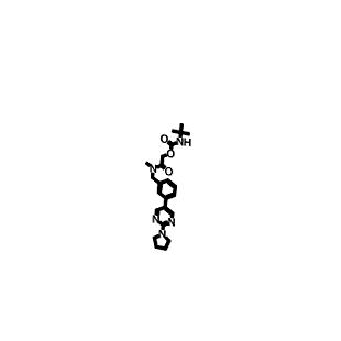 CN(Cc1cccc(-c2cnc(N3CCCC3)nc2)c1)C(=O)COC(=O)NC(C)(C)C